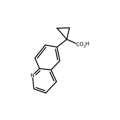 O=C(O)C1(c2ccc3ncccc3c2)CC1